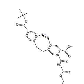 CCOC(=O)NC(=O)c1cc2c(cc1C(=O)OC)/N=N\c1cc(C(=O)OC(C)(C)C)ccc1CC2